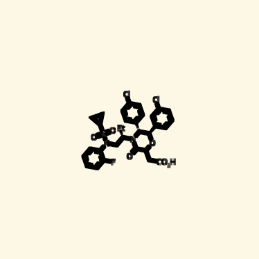 CC[C@@H](CN(c1ccccc1F)S(=O)(=O)C1CC1)N1C(=O)C(CC(=O)O)O[C@H](c2cccc(Cl)c2)[C@H]1c1ccc(Cl)cc1